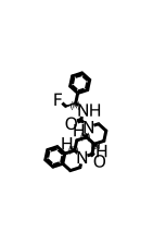 O=C1[C@H]2CCCN(C(=O)N[C@@H](CF)c3ccccc3)[C@H]2C[C@@H]2c3ccccc3CCN12